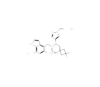 COc1cc(C)c2[nH]ccc2c1CN1CCC2(C[C@@H]1c1cnn(CC(=O)O)c1)CC(F)(F)C2